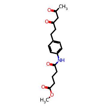 COC(=O)CCCC(=O)Nc1ccc(CCC(=O)CC(C)=O)cc1